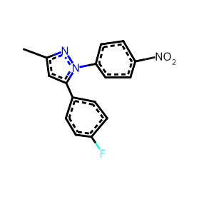 Cc1cc(-c2ccc(F)cc2)n(-c2ccc([N+](=O)[O-])cc2)n1